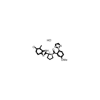 COc1ccc(-n2nccn2)c(C(=O)N2CCC[C@@]2(C)c2nc3ccc(Cl)c(C)c3[nH]2)c1.Cl